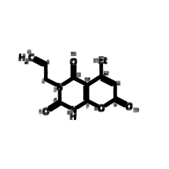 C=CCn1c(=O)[nH]c2oc(=O)cc(CC)c2c1=O